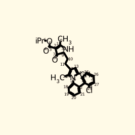 CC1=C(C(=O)OC(C)C)C(=O)C(CCc2cc(C)n(-c3ccccc3-c3ccccc3Cl)c2C)N1